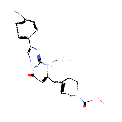 CCCCCn1c(C2=CCN(C(=O)OC(C)(C)C)CC2)cc(=O)n2cc(-c3ccc(Cl)cc3)nc12